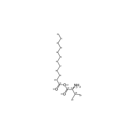 CCCCCCCCCCCC(=O)OC(=O)[C@@H](N)C(C)C